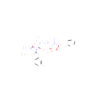 CC(C)C[C@H](NCCC(NC(=O)OCc1ccccc1)P(=O)(O)O)C(=O)N(C(N)=O)[C@@H](Cc1ccccc1)C(=O)O